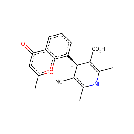 CC1=C(C#N)[C@@H](c2cccc3c(=O)cc(C)oc23)C(C(=O)O)=C(C)N1